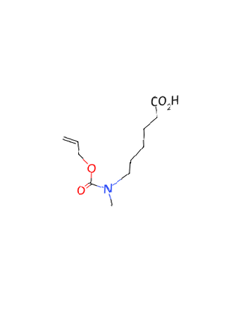 C=CCOC(=O)N(C)CCCCCC(=O)O